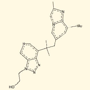 Cc1cn2cc(CC(C)(C)c3cncc4c3nnn4CCO)cc(C(C)(C)C)c2n1